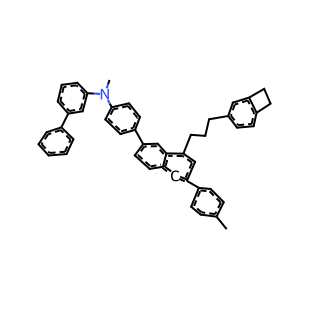 Cc1ccc(-c2cc(CCCc3ccc4c(c3)CC4)c3cc(-c4ccc(N(C)c5cccc(-c6ccccc6)c5)cc4)ccc3c2)cc1